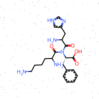 NCCCCC(N)C(=O)N(C(=O)C(N)Cc1c[nH]cn1)[C@@H](Cc1ccccc1)C(=O)O